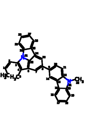 C/C=C\c1c(C)c2cc(-c3ccc4c(c3)c3ccccc3n4C)cc3c4ccccc4n1c23